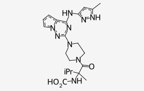 Cc1cc(Nc2nc(N3CCN(C(=O)C(C)(NC(=O)O)C(C)C)CC3)nn3cccc23)n[nH]1